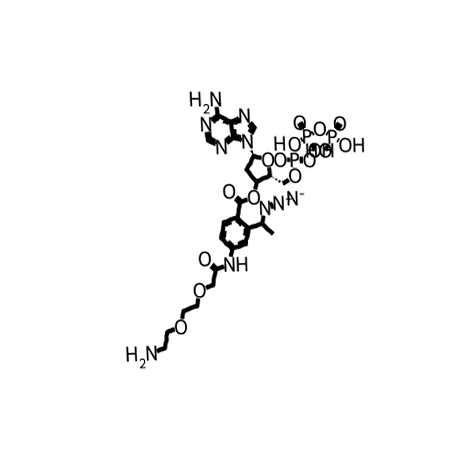 CC(N=[N+]=[N-])c1cc(NC(=O)COCCOCCN)ccc1C(=O)OC1C[C@H](n2cnc3c(N)ncnc32)O[C@@H]1COP(=O)(O)OP(=O)(O)OP(=O)(O)O